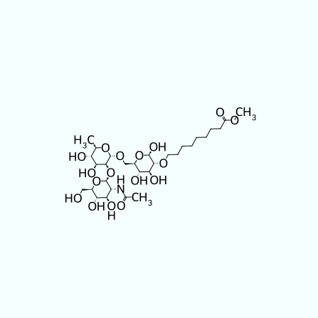 COC(=O)CCCCCCCCO[C@@H]1[C@@H](O)[C@H](O)[C@@H](CO[C@H]2O[C@H](C)[C@@H](O)[C@H](O)[C@@H]2O[C@@H]2O[C@H](CO)[C@@H](O)[C@H](O)[C@H]2NC(C)=O)O[C@H]1O